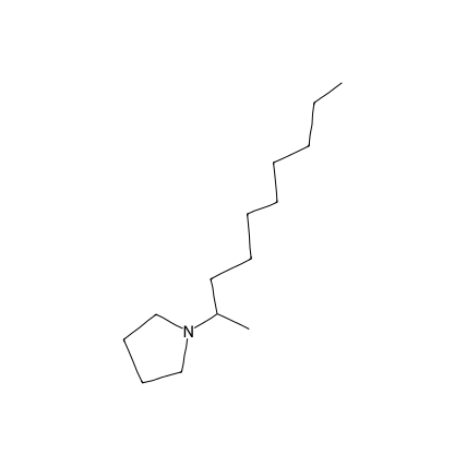 CCCCCCCCC(C)N1CCCC1